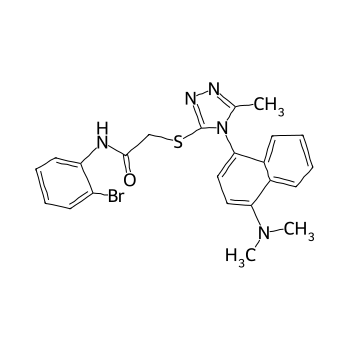 Cc1nnc(SCC(=O)Nc2ccccc2Br)n1-c1ccc(N(C)C)c2ccccc12